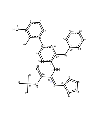 Cc1c(O)cccc1-c1cnc(N/C(=C\c2ccco2)C(=O)OC(C)(C)C)c(Cc2ccccc2)n1